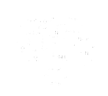 CCN1CCN(c2cccc3c2CN(C(CCC(N)Cc2ccccc2)(Cc2ccccc2)c2ccc(OC)c(OC)c2)C3C=O)CC1